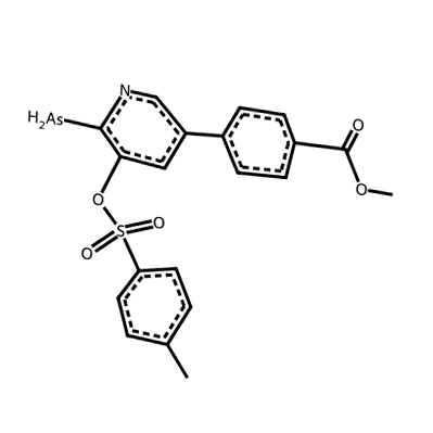 COC(=O)c1ccc(-c2cnc([AsH2])c(OS(=O)(=O)c3ccc(C)cc3)c2)cc1